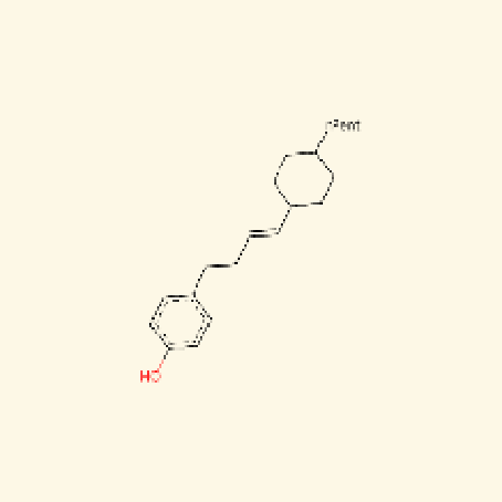 CCCCCC1CCC(C=CCCc2ccc(O)cc2)CC1